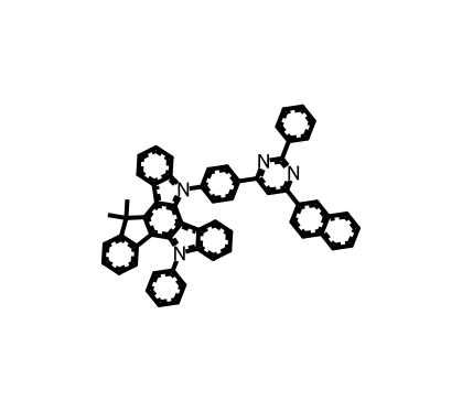 CC1(C)c2ccccc2-c2c1c1c3ccccc3n(-c3ccc(-c4cc(-c5ccc6ccccc6c5)nc(-c5ccccc5)n4)cc3)c1c1c3ccccc3n(-c3ccccc3)c21